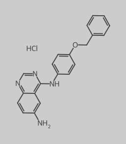 Cl.Nc1ccc2ncnc(Nc3ccc(OCc4ccccc4)cc3)c2c1